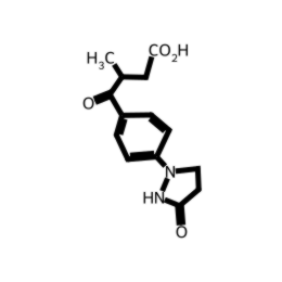 CC(CC(=O)O)C(=O)c1ccc(N2CCC(=O)N2)cc1